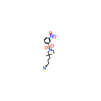 CCN(CC(C)(C)CCCC#N)S(=O)(=O)c1cccc([N+](=O)[O-])c1